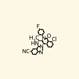 CC(Nc1ncnc2ccc(C#N)cc12)c1cc2cccc(Cl)c2c(=O)n1-c1ccc(F)cc1